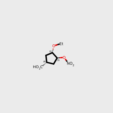 CCO[C@H]1C[C@@H](C(=O)O)C[C@@H]1O[N+](=O)[O-]